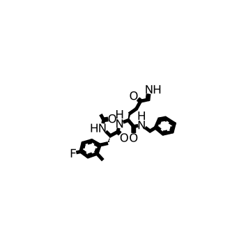 CC(=O)N[C@@H](Cc1ccc(F)cc1C)C(=O)N[C@@H](CCC(=O)C=N)C(=O)NCc1ccccc1